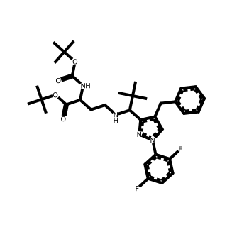 CC(C)(C)OC(=O)NC(CCNC(c1nn(-c2cc(F)ccc2F)cc1Cc1ccccc1)C(C)(C)C)C(=O)OC(C)(C)C